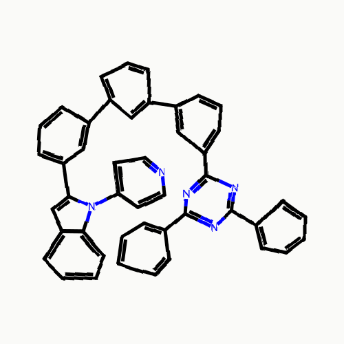 c1ccc(-c2nc(-c3ccccc3)nc(-c3cccc(-c4cccc(-c5cccc(-c6cc7ccccc7n6-c6ccncc6)c5)c4)c3)n2)cc1